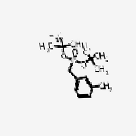 Cc1cccc(CP(=O)(OC(C)(C)C)OC(C)(C)C)c1